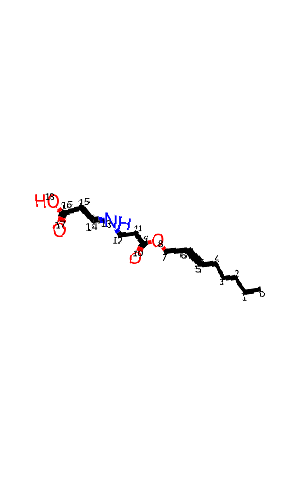 CCCCCC=CCOC(=O)CCNCCC(=O)O